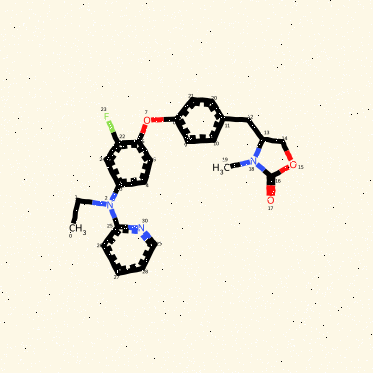 CCN(c1ccc(Oc2ccc(CC3COC(=O)N3C)cc2)c(F)c1)c1ccccn1